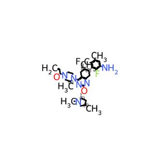 C=CC(=O)N1CCN(c2nc(OC[C@@H]3C[C@@H](C)CN3C)nc3c2C[C@@H](C)[C@H](c2c(F)c(N)cc(C)c2C(F)(F)F)C3)[C@@H](C)C1